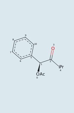 CC(=O)O[C@H](C(=O)C(C)C)c1ccccc1